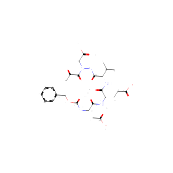 CC(=O)C(=O)N(CC(=O)O)NC(=O)[C@@H](NC(=O)[C@H](CCC(=O)O)NC(=O)[C@H](CC(=O)O)NC(=O)OCc1ccccc1)C(C)C